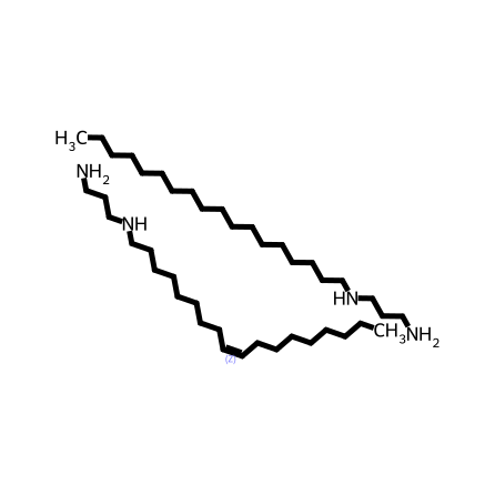 CCCCCCCC/C=C\CCCCCCCCNCCCN.CCCCCCCCCCCCCCCCCCNCCCN